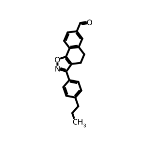 CCCc1ccc(-c2noc3c2CCc2cc(C=O)ccc2-3)cc1